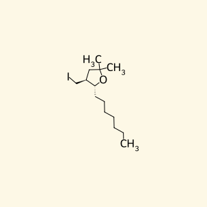 CCCCCCC[C@H]1OC(C)(C)C[C@@H]1CI